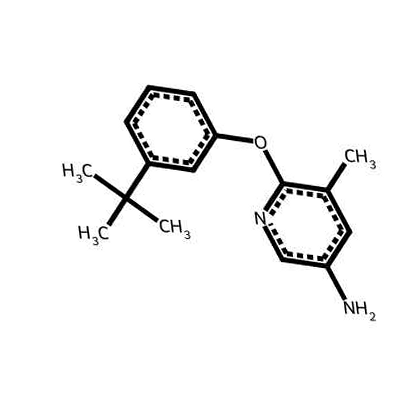 Cc1cc(N)cnc1Oc1cccc(C(C)(C)C)c1